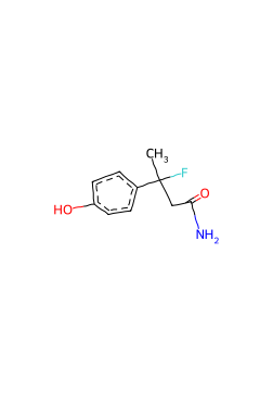 CC(F)(CC(N)=O)c1ccc(O)cc1